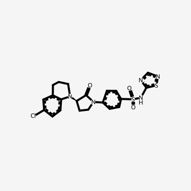 O=C1[C@H](N2CCCc3cc(Cl)ccc32)CCN1c1ccc(S(=O)(=O)Nc2ncns2)cc1